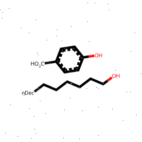 CCCCCCCCCCCCCCCCO.O=C(O)c1ccc(O)cc1